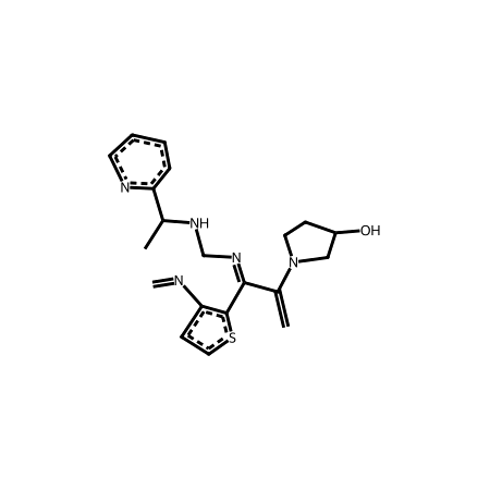 C=Nc1ccsc1/C(=N\CNC(C)c1ccccn1)C(=C)N1CCC(O)C1